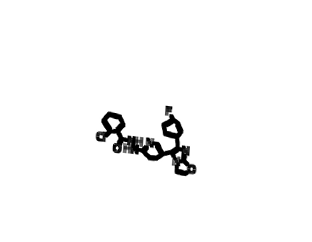 O=C(NNc1ccc(-c2c(-c3ccc(F)cc3)nc3occn23)cn1)c1ccccc1Cl